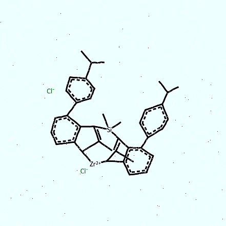 CC1=C2c3c(-c4ccc(C(C)C)cc4)cccc3[CH]1[Zr+2][CH]1C(C)=C(c3c(-c4ccc(C(C)C)cc4)cccc31)[Si]2(C)C.[Cl-].[Cl-]